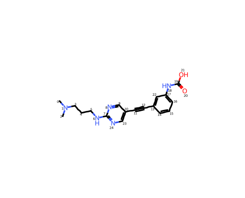 CN(C)CCCNc1ncc(C#Cc2cccc(NC(=O)O)c2)cn1